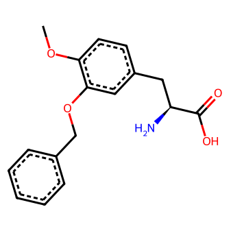 COc1ccc(C[C@H](N)C(=O)O)cc1OCc1ccccc1